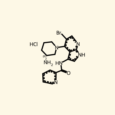 Cl.N[C@@H]1CCCN(c2c(Br)cnc3[nH]cc(NC(=O)c4ccccn4)c23)C1